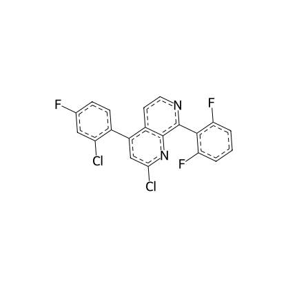 Fc1ccc(-c2cc(Cl)nc3c(-c4c(F)cccc4F)nccc23)c(Cl)c1